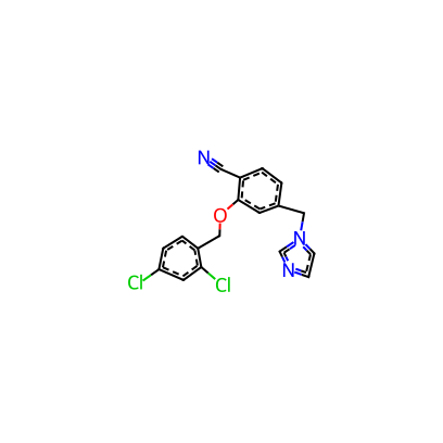 N#Cc1ccc(Cn2ccnc2)cc1OCc1ccc(Cl)cc1Cl